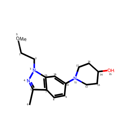 COCCn1nc(C)c2ccc(N3CCC(O)CC3)cc21